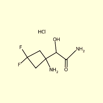 Cl.NC(=O)C(O)C1(N)CC(F)(F)C1